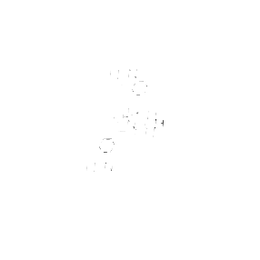 CC(C)(C)N(CCc1cccc(CN)c1)C(=O)OCc1cccc(N)c1